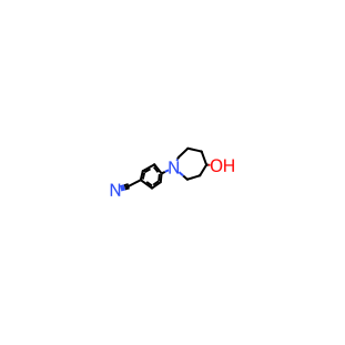 N#Cc1ccc(N2CCCC(O)CC2)cc1